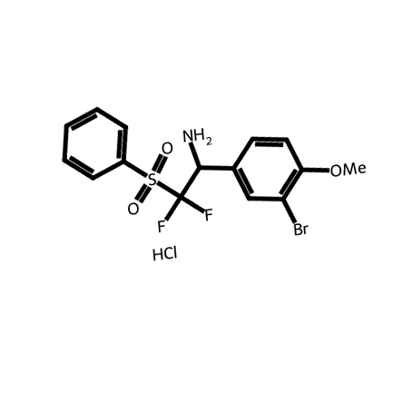 COc1ccc(C(N)C(F)(F)S(=O)(=O)c2ccccc2)cc1Br.Cl